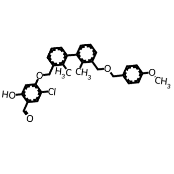 COc1ccc(COCc2cccc(-c3cccc(COc4cc(O)c(C=O)cc4Cl)c3C)c2C)cc1